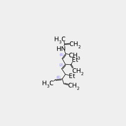 C=C/C(=C\C)C(/C=C(/C=C(\C)NC(=C)C)C(=C)CC)CC